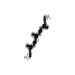 C=CC(=O)OCCOc1ccc(OC(=O)c2ccc(C(=O)Oc3ccc(OC(=O)c4ccc(C(=O)Oc5ccc(OCCOC(=O)C=C)c6c5OC(F)(F)O6)cc4)c4c3OC(F)(F)O4)cc2)c2c1OC(F)(F)O2